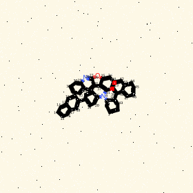 c1ccc(N(c2ccc(-c3ccc4ccccc4c3)cc2)c2cccc3oc4nc5ccccc5cc4c23)c(-c2cccc3ccccc23)c1